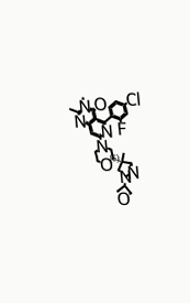 Cc1nc2cc(N3CCO[C@@H](C4(C)C=NN(C5COC5)C4)C3)nc(-c3ccc(Cl)cc3F)c2c(=O)n1C